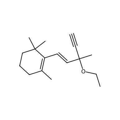 C#CC(C)(C=CC1=C(C)CCCC1(C)C)OCC